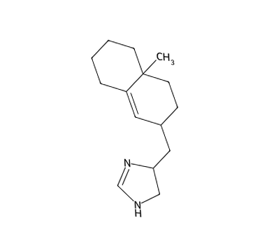 CC12CCCCC1=CC(CC1CNC=N1)CC2